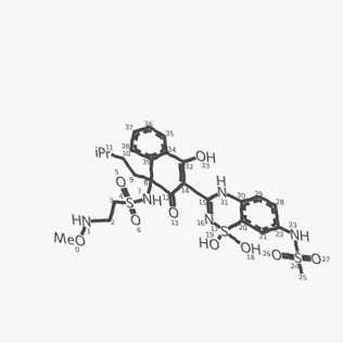 CONCCS(=O)(=O)NC1(CCC(C)C)C(=O)C(C2=NS(O)(O)c3cc(NS(C)(=O)=O)ccc3N2)=C(O)c2ccccc21